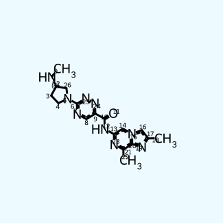 CN[C@@H]1CCN(c2ncc(C(=O)Nc3cn4cc(C)nc4c(C)n3)nn2)C1